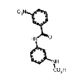 O=C(O)Nc1cccc(NC(=O)c2cccc([N+](=O)[O-])c2)c1